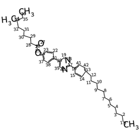 CCCCCCCCCCCCCc1ccc(-c2ncc(-c3ccc(OC(=O)CCCCCC(C)CC)cc3)cn2)cc1